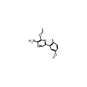 CCOc1nc(-c2cc(OC)ccc2C)cnc1N